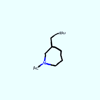 CCC(C)CC1CCCN(C(C)=O)C1